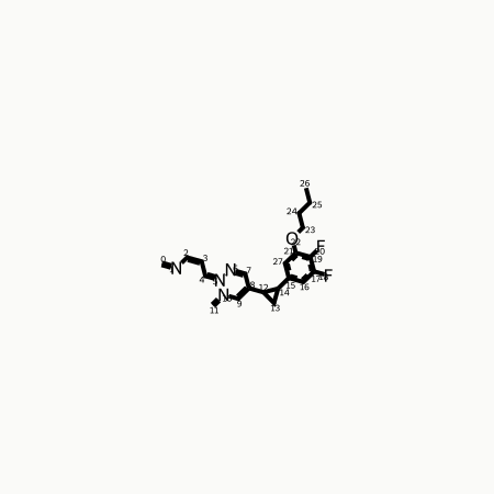 C=N\C=C/C=N\N=C/C(=C\N=C)C1CC1c1cc(F)c(F)c(OCCCC)c1